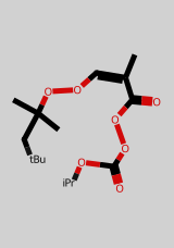 CC(=COOC(C)(C)CC(C)(C)C)C(=O)OOC(=O)OC(C)C